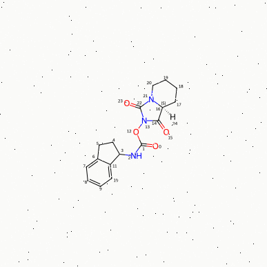 O=C(NC1CCc2ccccc21)ON1C(=O)[C@@H]2CCCCN2C1=O